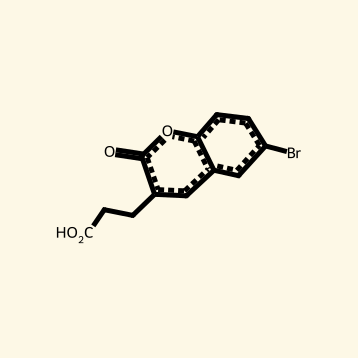 O=C(O)CCc1cc2cc(Br)ccc2oc1=O